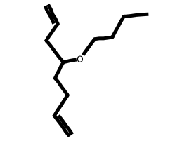 C=CCCC(CC=C)OCCCC